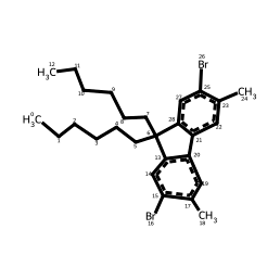 CCCCCCC1(CCCCCC)c2cc(Br)c(C)cc2-c2cc(C)c(Br)cc21